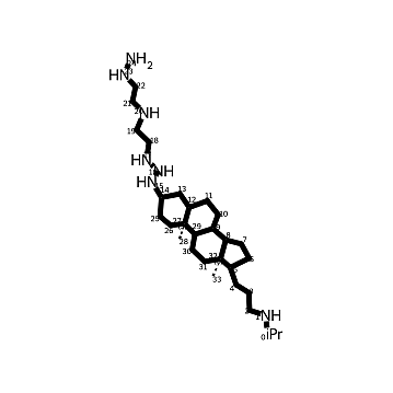 CC(C)NCCCC1CCC2C3CCC4CC(NNNCCNCCNN)CC[C@]4(C)C3CC[C@]12C